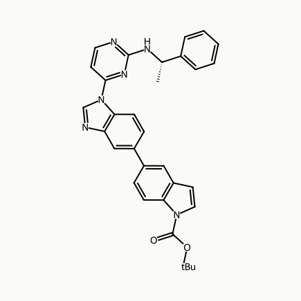 C[C@H](Nc1nccc(-n2cnc3cc(-c4ccc5c(ccn5C(=O)OC(C)(C)C)c4)ccc32)n1)c1ccccc1